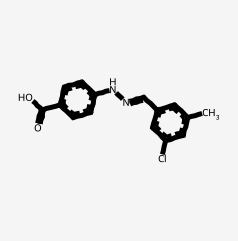 Cc1cc(Cl)cc(/C=N/Nc2ccc(C(=O)O)cc2)c1